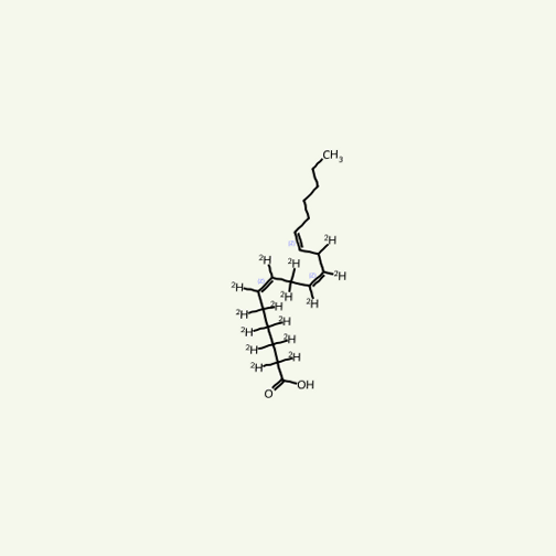 [2H]/C(=C(\[2H])C([2H])([2H])/C([2H])=C(/[2H])C([2H])([2H])C([2H])([2H])C([2H])([2H])C([2H])([2H])C(=O)O)C([2H])/C=C\CCCCC